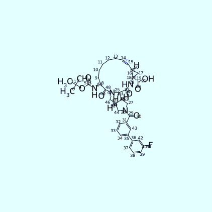 CC(C)(C)OC(=O)N[C@@H]1CCCCC/C=C\[C@H]2C[C@@]2(C(=O)O)NC(=O)[C@@H]2[C@H]3CN(C(=O)c4cccc(-c5cccc(F)c5)c4)C[C@H]3CN2C1=O